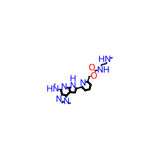 CNCCNC(=O)OCc1cccc(-c2cc3c(nc(NC)c4ncn(C)c43)[nH]2)n1